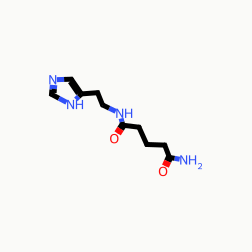 NC(=O)CCCC(=O)NCCc1cnc[nH]1